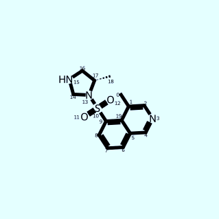 Cc1cncc2cccc(S(=O)(=O)N3CNC[C@@H]3C)c12